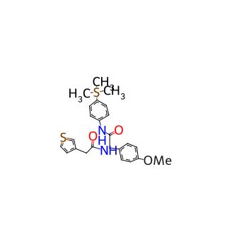 COc1ccc(C(NC(=O)Cc2ccsc2)C(=O)Nc2ccc(S(C)(C)C)cc2)cc1